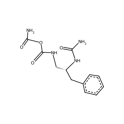 NC(=O)N[C@@H](CNC(=O)OC(N)=O)Cc1ccccc1